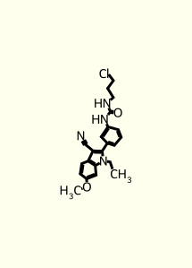 CCn1c(-c2cccc(NC(=O)NCCCCl)c2)c(C#N)c2ccc(OC)cc21